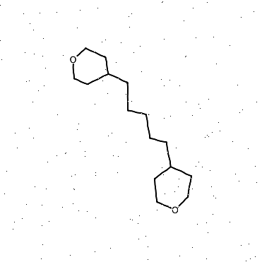 [CH](CCC1CCOCC1)CCC1CCOCC1